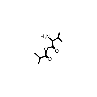 CC(C)C(=O)OC(=O)C(N)C(C)C